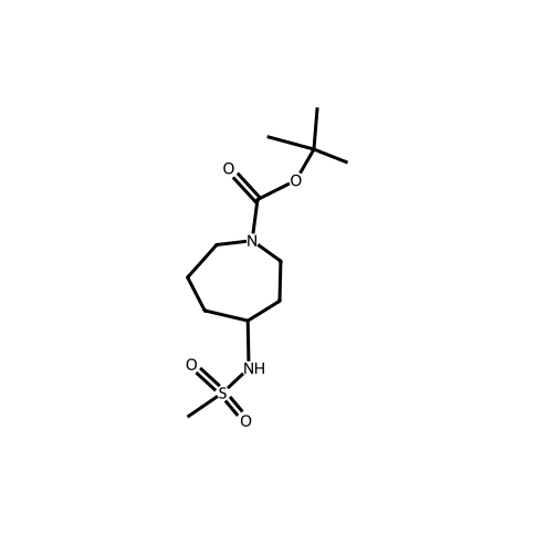 CC(C)(C)OC(=O)N1CCCC(NS(C)(=O)=O)CC1